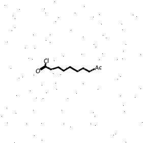 CC(=O)CCCCCCCC(=O)Cl